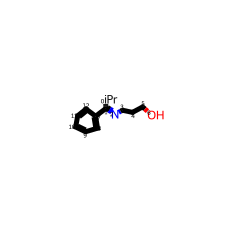 CC(C)/C(=N\CCCO)c1ccccc1